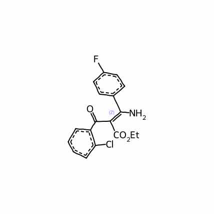 CCOC(=O)/C(C(=O)c1ccccc1Cl)=C(\N)c1ccc(F)cc1